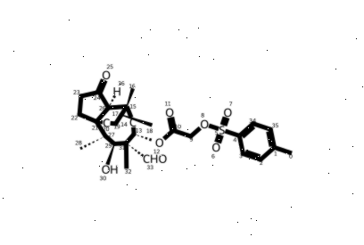 Cc1ccc(S(=O)(=O)OCC(=O)O[C@H]2C[C@]3(C)[C@H](C)CC[C@]4(CCC(=O)[C@@H]34)[C@@H](C)[C@H](O)[C@@]2(C)C=O)cc1